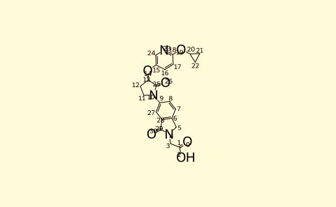 O=C(O)CN1Cc2ccc(N3CC[C@@H](Oc4ccc(OC5CC5)nc4)C3=O)cc2C1=O